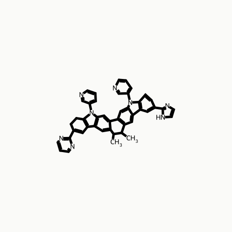 CC1c2cc3c4c(n(-c5cccnc5)c3cc2-c2cc3c(cc2C1C)c1cc(-c2ncc[nH]2)ccc1n3-c1cccnc1)CCC(c1ncccn1)=C4